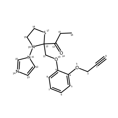 C#CCOc1ccccc1OCC1(C(=O)CC)SCCN1n1ccnc1